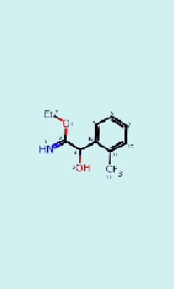 CCOC(=N)C(O)c1ccccc1C(F)(F)F